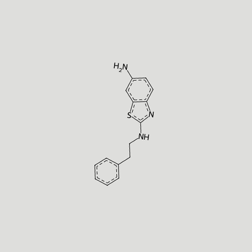 Nc1ccc2nc(NCCc3ccccc3)sc2c1